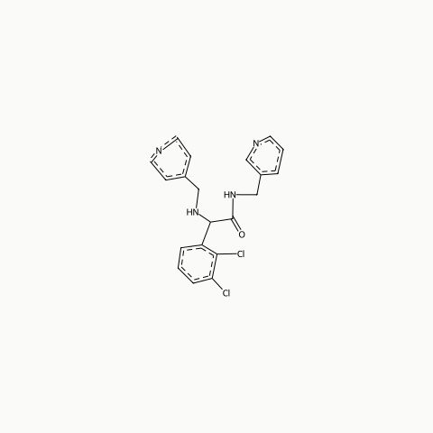 O=C(NCc1cccnc1)C(NCc1ccncc1)c1cccc(Cl)c1Cl